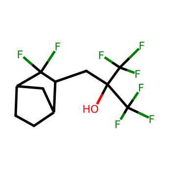 OC(CC1C2CCC(C2)C1(F)F)(C(F)(F)F)C(F)(F)F